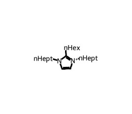 CCCCCCCn1cc[n+](CCCCCCC)c1CCCCCC